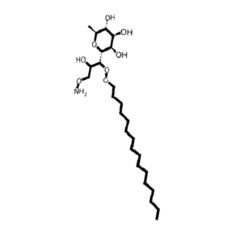 CCCCCCCCCCCCCCCCOOC(C(O)CON)[C@@H]1O[C@@H](C)[C@H](O)[C@@H](O)[C@H]1O